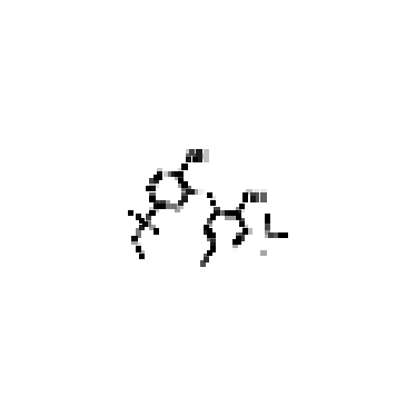 CCC(C)(C)c1ccc(O)c(Cc2cc(C)cc(C(C)(C)C)c2O)c1